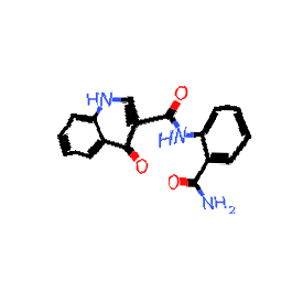 NC(=O)c1ccccc1NC(=O)c1c[nH]c2ccccc2c1=O